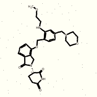 COCCNc1cc(CN2CCOCC2)ccc1COc1cccc2c1CN([C@H]1CCC(=O)NC1=O)C2=O